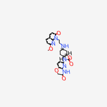 COc1ccc2ccc(=O)n(CCN[C@@H]3CC[C@@H]4[C@@H](C3)OC(=O)N4c3ccc4c(n3)NC(=O)CO4)c2n1